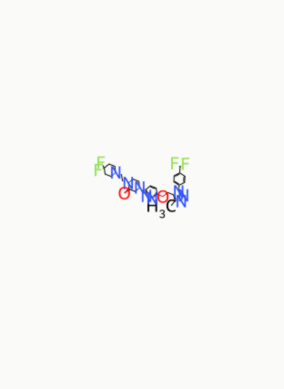 Cc1nnn(-c2ccc(C(F)F)cc2)c1COc1ccc(N2CCN(CCN3CCC(F)(F)CC3)C(=O)C2)nn1